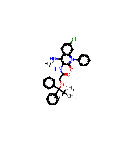 CNc1c(NC(=O)COC(c2ccccc2)(c2ccccc2)C(C)(C)C)c(=O)n(-c2ccccc2)c2cc(Cl)ccc12